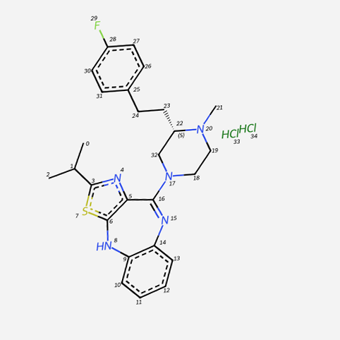 CC(C)c1nc2c(s1)Nc1ccccc1N=C2N1CCN(C)[C@@H](CCc2ccc(F)cc2)C1.Cl.Cl